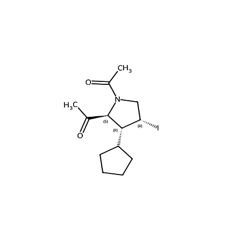 CC(=O)[C@@H]1[C@@H](C2CCCC2)[C@@H](I)CN1C(C)=O